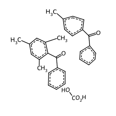 Cc1cc(C)c(C(=O)c2ccccc2)c(C)c1.Cc1ccc(C(=O)c2ccccc2)cc1.O=C(O)O